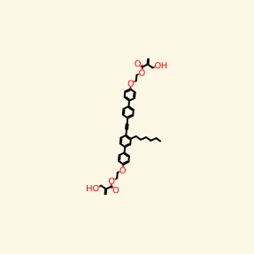 C=C(CO)C(=O)OCCOc1ccc(-c2ccc(C#Cc3ccc(-c4ccc(OCCOC(=O)C(=C)CO)cc4)cc3CCCCCC)cc2)cc1